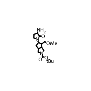 COCC1C2CN(C(=O)OC(C)(C)C)CC2CC1N1CCC(N)C1=O